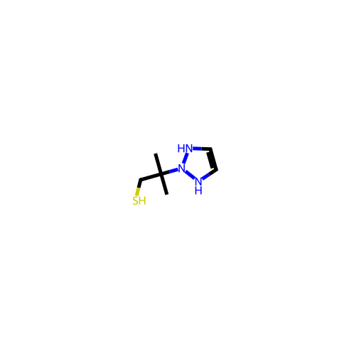 CC(C)(CS)N1NC=CN1